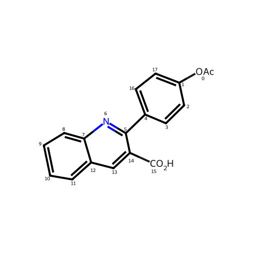 CC(=O)Oc1ccc(-c2nc3ccccc3cc2C(=O)O)cc1